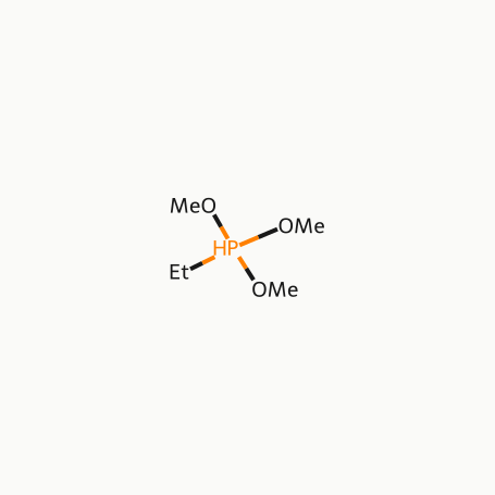 CC[PH](OC)(OC)OC